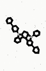 c1ccc(-c2ccc(-n3c4ccccc4c4c5c6ccc(-c7ccccc7)cc6n(-c6ccccc6)c5ccc43)cc2)cc1